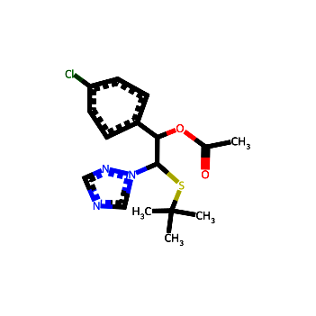 CC(=O)OC(c1ccc(Cl)cc1)C(SC(C)(C)C)n1cncn1